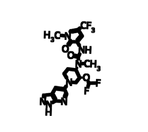 CN(C(=O)Nc1cc(C(F)(F)F)cn(C)c1=O)[C@@H]1CCN(c2cnc3[nH]ncc3c2)C[C@H]1OC(F)F